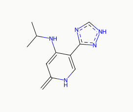 C=C1C=C(NC(C)C)C(c2nc[nH]n2)=CN1